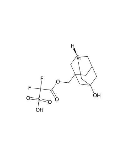 O=C(OCC12CC3C[C@H](CC(O)(C3)C1)C2)C(F)(F)S(=O)(=O)O